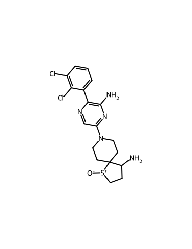 Nc1nc(N2CCC3(CC2)C(N)CC[S+]3[O-])cnc1-c1cccc(Cl)c1Cl